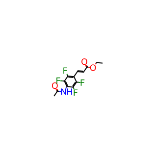 CCOC(=O)C=Cc1c(F)c(F)c(NC(C)=O)c(F)c1F